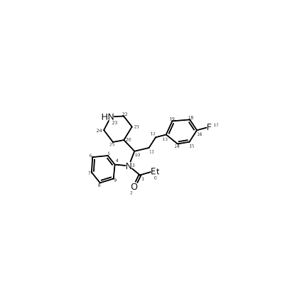 CCC(=O)N(c1ccccc1)C(CCc1ccc(F)cc1)C1CCNCC1